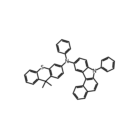 CC1(C)c2ccccc2Sc2cc(N(c3ccccc3)c3ccc4c(c3)c3c5ccccc5ccc3n4-c3ccccc3)ccc21